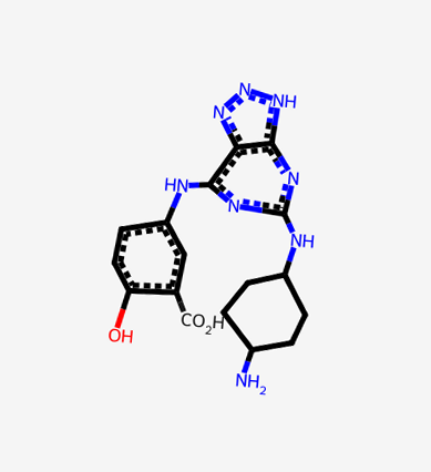 NC1CCC(Nc2nc(Nc3ccc(O)c(C(=O)O)c3)c3nn[nH]c3n2)CC1